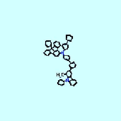 CC1CC(c2cccc(-c3ccc(N(c4ccc(-c5ccccc5)cc4)c4ccc5c(c4)C(c4ccccc4)(c4ccccc4)c4ccccc4-5)cc3)c2)=Cc2c1n(-c1ccccc1)c1ccccc21